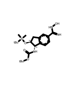 CC(C)(C)OC(=O)N[C@H]1c2ccc(C(=N)NO)cc2C[C@@H]1O[Si](C)(C)C(C)(C)C